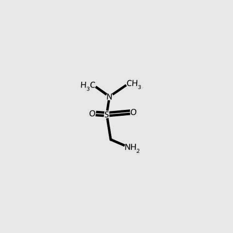 CN(C)S(=O)(=O)CN